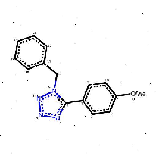 COc1ccc(-c2nnnn2Cc2ccccc2)cc1